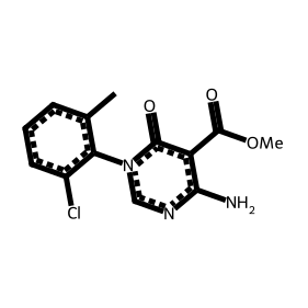 COC(=O)c1c(N)ncn(-c2c(C)cccc2Cl)c1=O